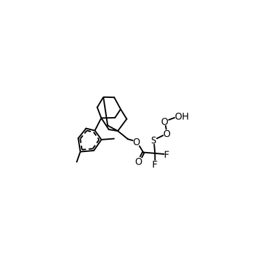 Cc1ccc(C23CC4CC(CC(COC(=O)C(F)(F)SOOO)(C4)C2)C3)c(C)c1